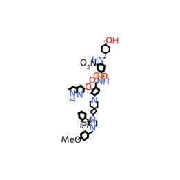 COc1ccc(CN2CCN(C3CC4(CCN(c5ccc(C(=O)NS(=O)(=O)c6ccc(NC[C@H]7CC[C@](C)(O)CC7)c([N+](=O)[O-])c6)c(Oc6cnc7[nH]ccc7c6)c5)CC4)C3)[C@H](c3ccccc3C(C)C)C2)cc1